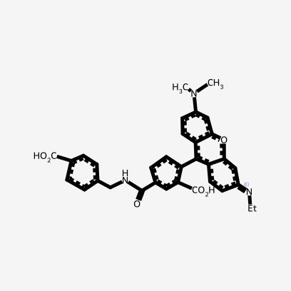 CC/N=c1\ccc2c(-c3ccc(C(=O)NCc4ccc(C(=O)O)cc4)cc3C(=O)O)c3ccc(N(C)C)cc3oc-2c1